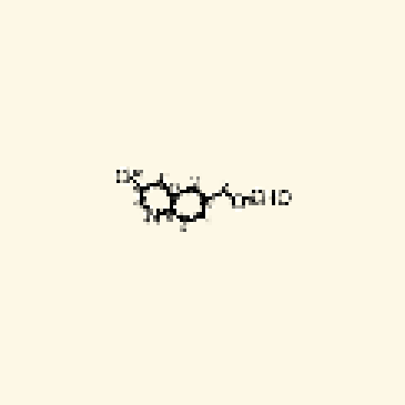 O=COCc1ccc2ncc(Cl)cc2c1